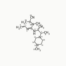 C=C/N=C(/N[C@@H](C)C(C)N1CCN(C)CC1)N(C)C(C)C#N